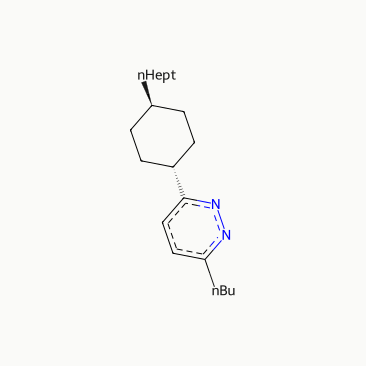 CCCCCCC[C@H]1CC[C@H](c2ccc(CCCC)nn2)CC1